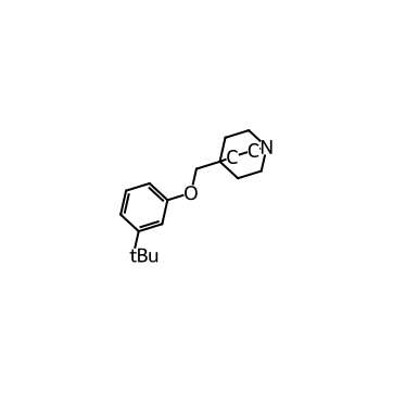 CC(C)(C)c1cccc(OCC23CCN(CC2)CC3)c1